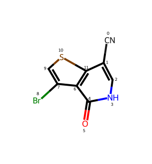 N#Cc1c[nH]c(=O)c2c(Br)csc12